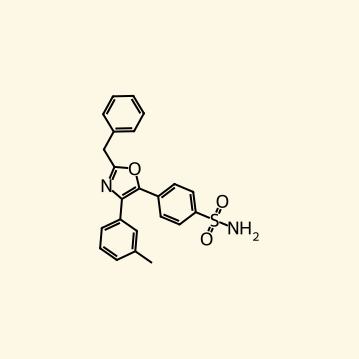 Cc1cccc(-c2nc(Cc3ccccc3)oc2-c2ccc(S(N)(=O)=O)cc2)c1